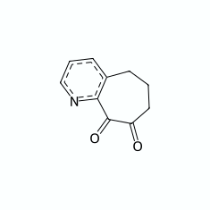 O=C1CCCc2cccnc2C1=O